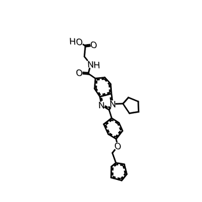 O=C(O)CNC(=O)c1ccc2c(c1)nc(-c1ccc(OCc3ccccc3)cc1)n2C1CCCC1